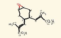 CC(=CC1CC2OC2CC1C=C(C)C(=O)O)C(=O)O